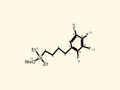 CC[Si](CC)(CCCCc1cc(F)c(F)c(F)c1F)OC